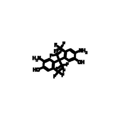 Nc1cc(C(c2cc(O)c(N)cc2C(F)(F)F)(C(F)(F)F)C(F)(F)F)c(C(F)(F)F)cc1O